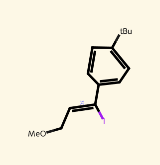 COC/C=C(\I)c1ccc(C(C)(C)C)cc1